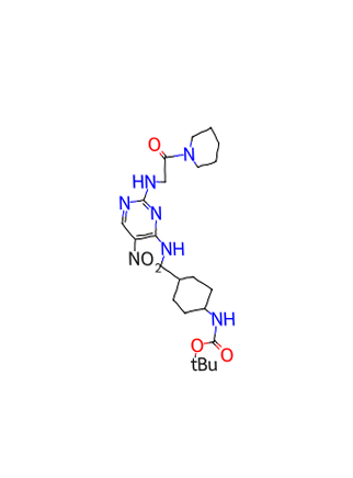 CC(C)(C)OC(=O)NC1CCC(CNc2nc(NCC(=O)N3CCCCC3)ncc2[N+](=O)[O-])CC1